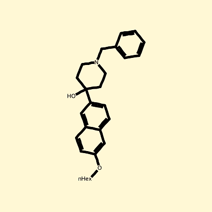 CCCCCCOc1ccc2cc(C3(O)CCN(Cc4ccccc4)CC3)ccc2c1